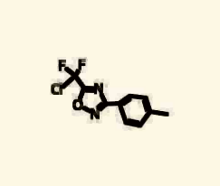 Cc1ccc(-c2noc(C(F)(F)Cl)n2)cc1